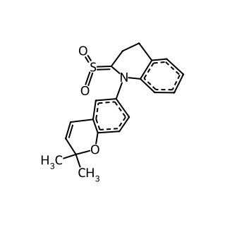 CC1(C)C=Cc2cc(N3C(=S(=O)=O)CCc4ccccc43)ccc2O1